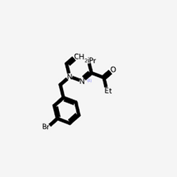 C=CN(Cc1cccc(Br)c1)/N=C(/C(=O)CC)C(C)C